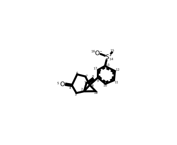 C=CC12CC(=O)CCC1(c1cccc([S+](C)[O-])c1)C2